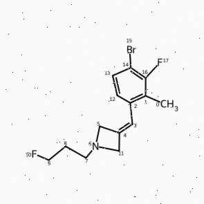 Cc1c(C=C2CN(CCCF)C2)ccc(Br)c1F